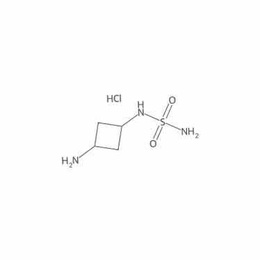 Cl.NC1CC(NS(N)(=O)=O)C1